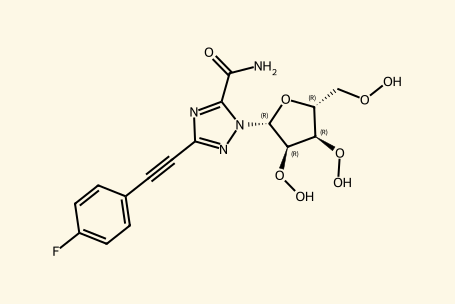 NC(=O)c1nc(C#Cc2ccc(F)cc2)nn1[C@@H]1O[C@H](COO)[C@@H](OO)[C@H]1OO